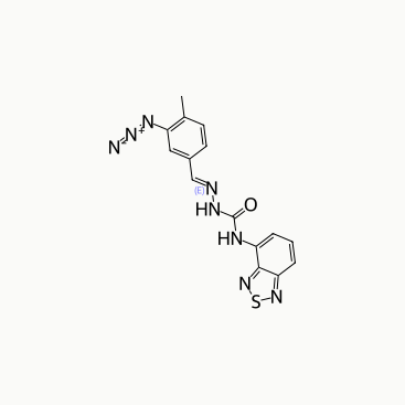 Cc1ccc(/C=N/NC(=O)Nc2cccc3nsnc23)cc1N=[N+]=[N-]